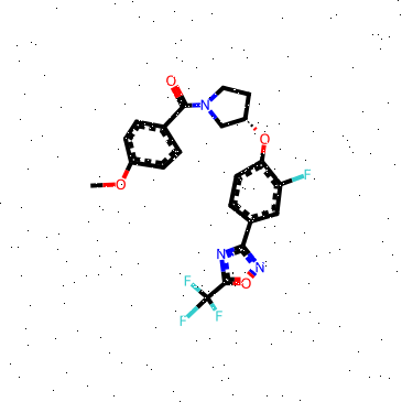 COc1ccc(C(=O)N2CC[C@H](Oc3ccc(-c4noc(C(F)(F)F)n4)cc3F)C2)cc1